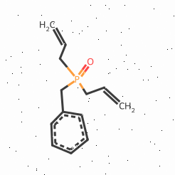 C=CCP(=O)(CC=C)Cc1ccccc1